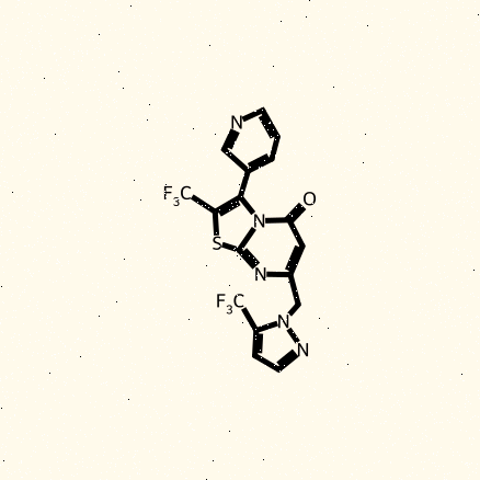 O=c1cc(Cn2nccc2C(F)(F)F)nc2sc(C(F)(F)F)c(-c3cccnc3)n12